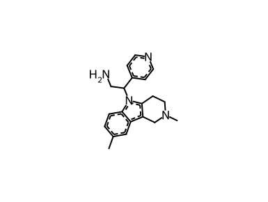 Cc1ccc2c(c1)c1c(n2C(CN)c2ccncc2)CCN(C)C1